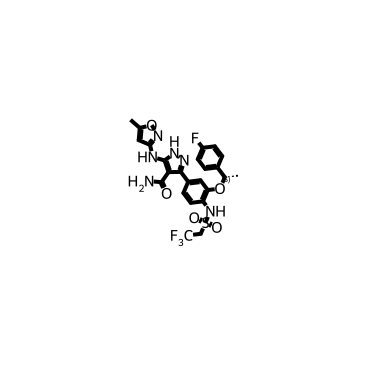 Cc1cc(Nc2[nH]nc(-c3ccc(NS(=O)(=O)CC(F)(F)F)c(O[C@@H](C)c4ccc(F)cc4)c3)c2C(N)=O)no1